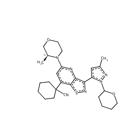 Cc1cc(-c2nsc3c(C4(C#N)CCCCC4)cc(N4CCOC[C@@H]4C)nc23)n(C2CCCCO2)n1